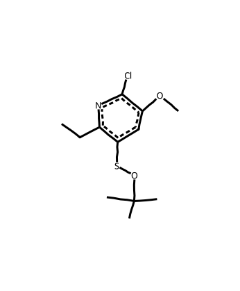 CCc1nc(Cl)c(OC)cc1SOC(C)(C)C